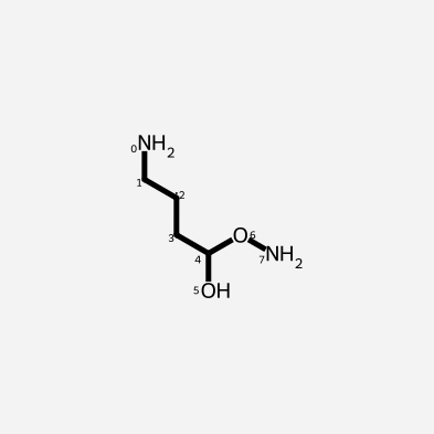 NC[CH]CC(O)ON